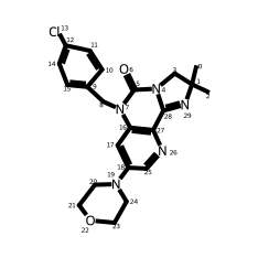 CC1(C)CN2C(=O)N(Cc3ccc(Cl)cc3)c3cc(N4CCOCC4)cnc3C2=N1